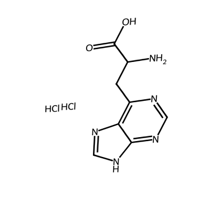 Cl.Cl.NC(Cc1ncnc2[nH]cnc12)C(=O)O